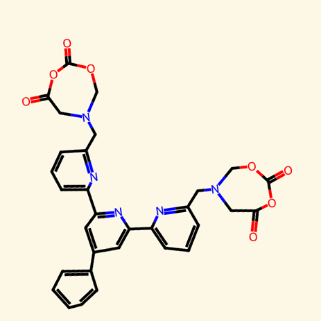 O=C1CN(Cc2cccc(-c3cc(-c4ccccc4)cc(-c4cccc(CN5COC(=O)OC(=O)C5)n4)n3)n2)COC(=O)O1